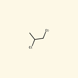 C[CH]CC(C)[CH]C